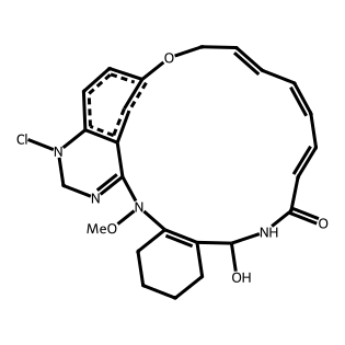 CON1C2=NCN(Cl)c3ccc(cc32)OC/C=C/C=C\C=C\C(=O)NC(O)C2=C1CCCC2